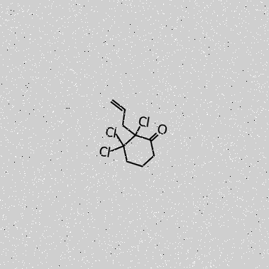 C=CCC1(Cl)C(=O)CCCC1(Cl)Cl